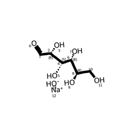 O=C[C@H](O)[C@@H](O)[C@H](O)[C@H](O)CO.[Na+].[OH-]